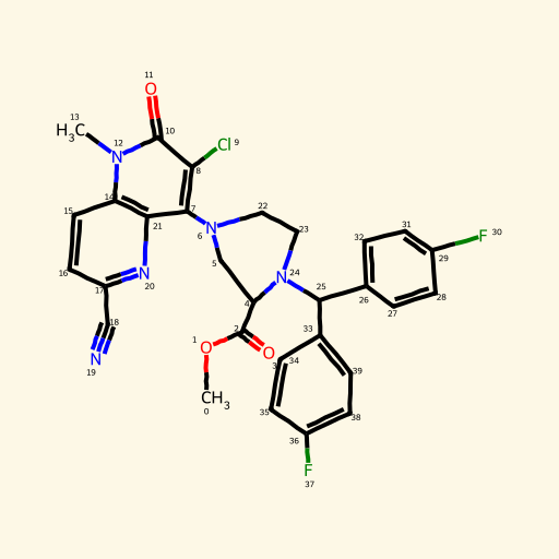 COC(=O)C1CN(c2c(Cl)c(=O)n(C)c3ccc(C#N)nc23)CCN1C(c1ccc(F)cc1)c1ccc(F)cc1